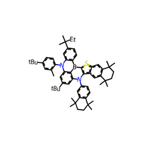 CCC(C)(C)c1ccc2c(c1)N(c1ccc(C(C)(C)C)cc1C)c1cc(C(C)(C)C)cc3c1B2c1sc2cc4c(cc2c1N3c1ccc2c(c1)C(C)(C)CCC2(C)C)C(C)(C)CCC4(C)C